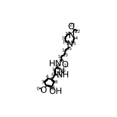 COc1ccc(-c2cc(NC(=O)CCCCN3CCCN(C(C)=O)CC3)n[nH]2)cc1O